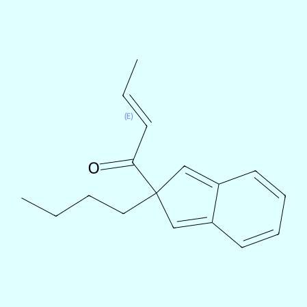 C/C=C/C(=O)C1(CCCC)C=c2ccccc2=C1